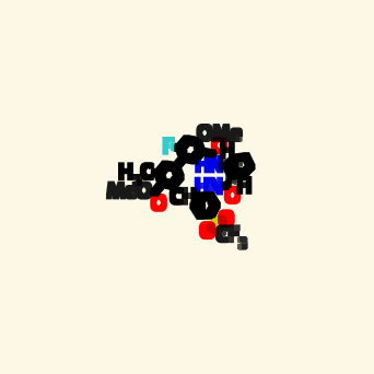 COC(=O)c1c(C)cc(-c2cc(C(=O)N[C@@H]3[C@H]4CC[C@H](C4)[C@@H]3C(=O)Nc3cccc(S(=O)(=O)C(F)(F)F)c3)c(OC)cc2F)cc1C